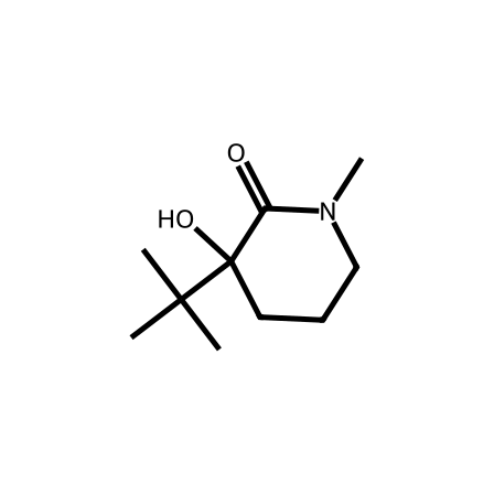 CN1CCCC(O)(C(C)(C)C)C1=O